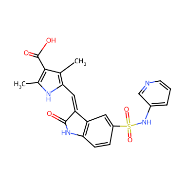 Cc1[nH]c(/C=C2\C(=O)Nc3ccc(S(=O)(=O)Nc4cccnc4)cc32)c(C)c1C(=O)O